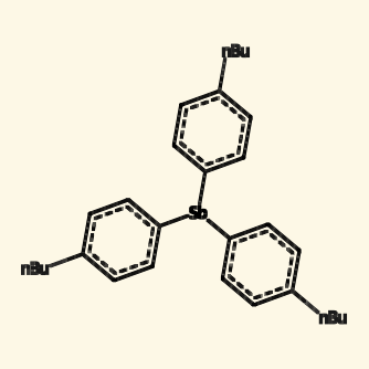 CCCCc1cc[c]([Sb]([c]2ccc(CCCC)cc2)[c]2ccc(CCCC)cc2)cc1